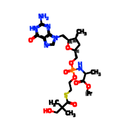 CC(C)OC(=O)C(C)NP(=O)(OCCSC(=O)C(C)(C)CO)OC[C@@H]1C[C@H](C)[C@H](Cn2cnc3c(=O)[nH]c(N)nc32)O1